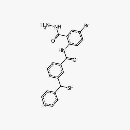 NNC(=O)c1cc(Br)ccc1NC(=O)c1cccc(C(S)c2ccncc2)c1